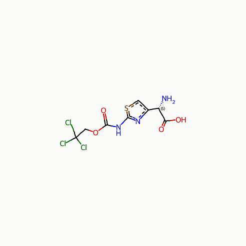 N[C@H](C(=O)O)c1csc(NC(=O)OCC(Cl)(Cl)Cl)n1